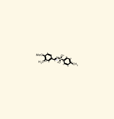 COc1ccc(/C=N/S(=O)(=O)c2ccc(C)cc2)cc1C